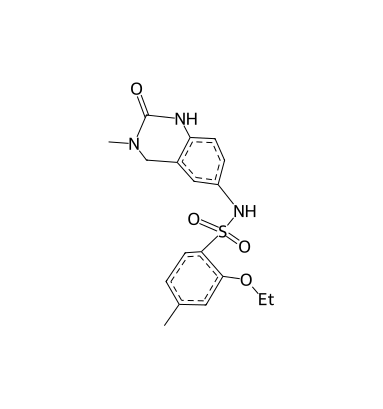 CCOc1cc(C)ccc1S(=O)(=O)Nc1ccc2c(c1)CN(C)C(=O)N2